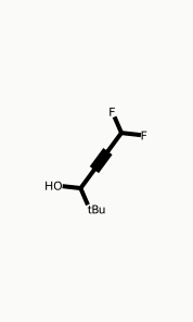 CC(C)(C)C(O)C#CC(F)F